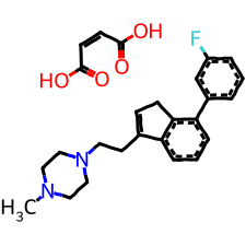 CN1CCN(CCC2=CCc3c2cccc3-c2cccc(F)c2)CC1.O=C(O)/C=C\C(=O)O